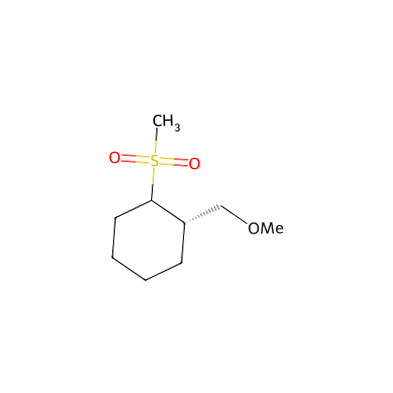 COC[C@@H]1CCCCC1S(C)(=O)=O